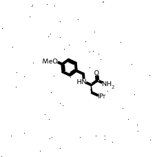 COc1ccc(CN[C@H](CC(C)C)C(N)=O)cc1